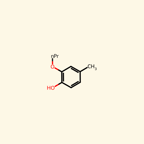 CCCOc1cc(C)ccc1O